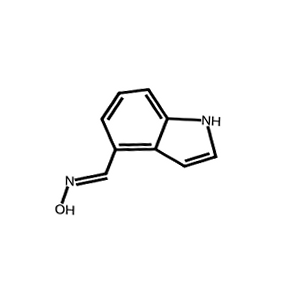 ON=Cc1cccc2[nH]ccc12